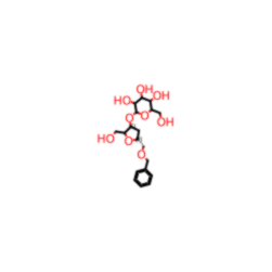 OCC1OC(O[C@H]2C[C@H](COCc3ccccc3)OC2CO)C(O)C(O)C1O